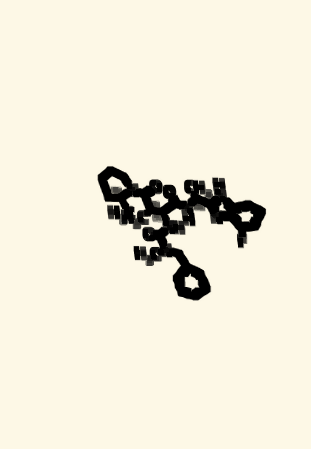 C[C@H](NC(=O)[C@@H](NC(=O)N(C)Cc1ccccc1)[C@@H](C)C(=O)N1CCCC[C@@H]1C)c1nc2c(F)cccc2[nH]1